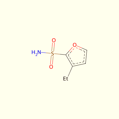 CCc1ccoc1S(N)(=O)=O